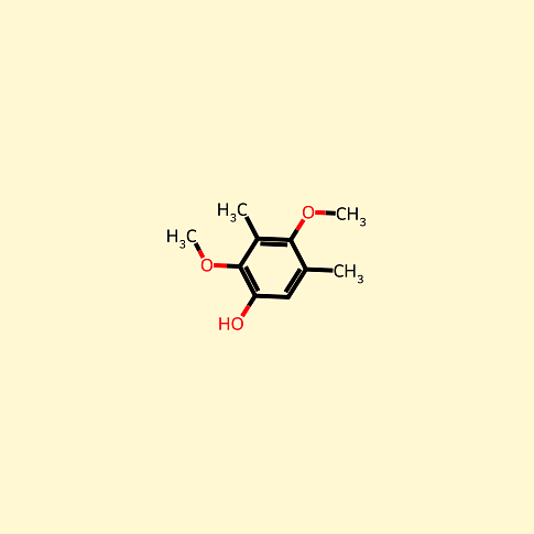 COc1c(C)cc(O)c(OC)c1C